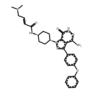 CN(C)C/C=C/C(=O)N[C@H]1CC[C@@H](n2nc(-c3ccc(Oc4ccccc4)cc3)c3c(N)n[nH]c(=O)c32)CC1